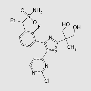 CCC(c1cccc(-c2nc(C(C)(CO)CO)sc2-c2ccnc(Cl)n2)c1F)S(N)(=O)=O